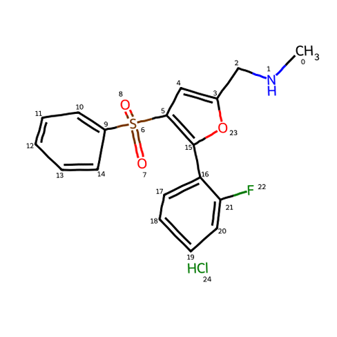 CNCc1cc(S(=O)(=O)c2ccccc2)c(-c2ccccc2F)o1.Cl